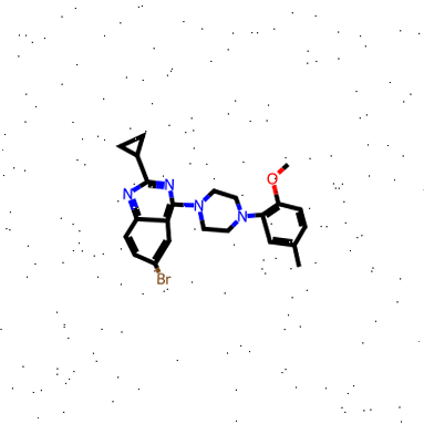 COc1ccc(C)cc1N1CCN(c2nc(C3CC3)nc3ccc(Br)cc23)CC1